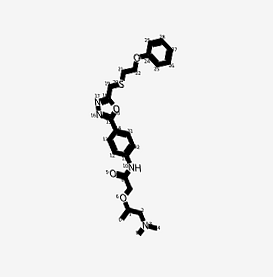 CC(CN(C)C)OCC(=O)Nc1ccc(-c2nnc(CSCCOc3ccccc3)o2)cc1